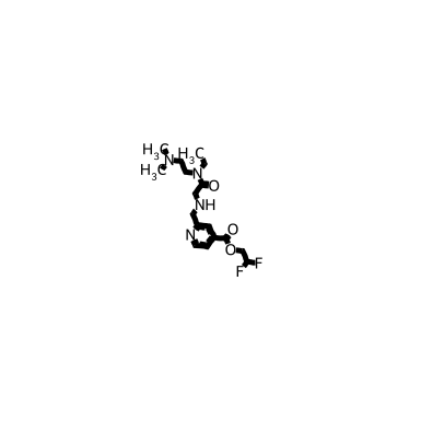 CCN(CCN(C)C)C(=O)CNCc1cc(C(=O)OCC(F)F)ccn1